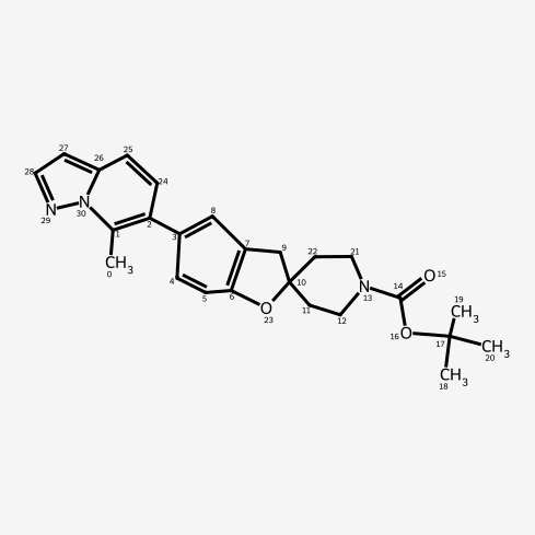 Cc1c(-c2ccc3c(c2)CC2(CCN(C(=O)OC(C)(C)C)CC2)O3)ccc2ccnn12